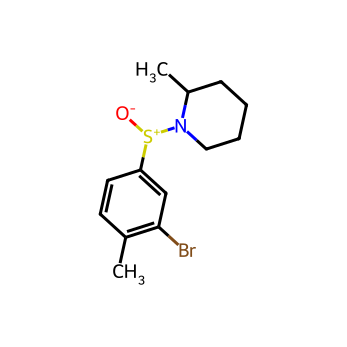 Cc1ccc([S+]([O-])N2CCCCC2C)cc1Br